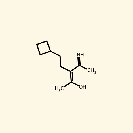 CC(=N)/C(CCC1CCC1)=C(/C)O